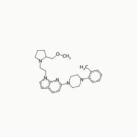 COCC1CCCN1CCn1ccc2ccc(N3CCN(c4ccccc4C)CC3)nc21